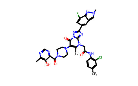 CCc1c(N2CCN(C(=O)c3ncnc(C)c3O)CC2)c(=O)n2nc(-c3cc(F)c4nn(C)cc4c3)nc2n1CC(=O)Nc1ccc(C(F)(F)F)cc1Cl